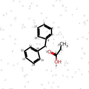 CCC(=O)O.c1ccc(Cc2ccccc2)cc1